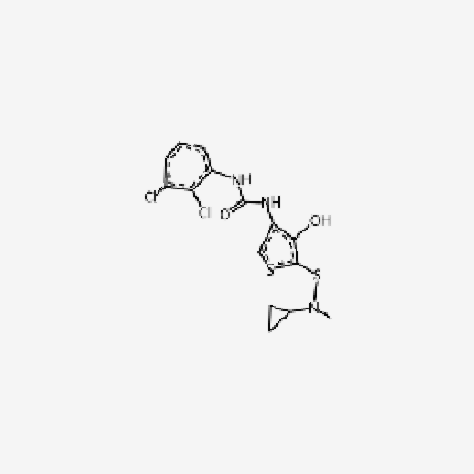 CN(Sc1scc(NC(=O)Nc2cccc(Cl)c2Cl)c1O)C1CC1